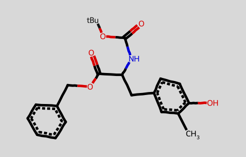 Cc1cc(CC(NC(=O)OC(C)(C)C)C(=O)OCc2ccccc2)ccc1O